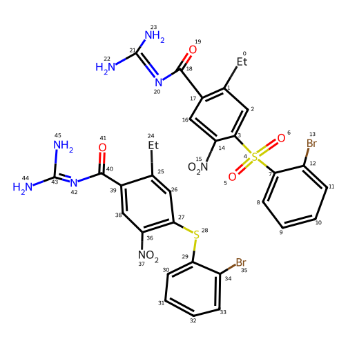 CCc1cc(S(=O)(=O)c2ccccc2Br)c([N+](=O)[O-])cc1C(=O)N=C(N)N.CCc1cc(Sc2ccccc2Br)c([N+](=O)[O-])cc1C(=O)N=C(N)N